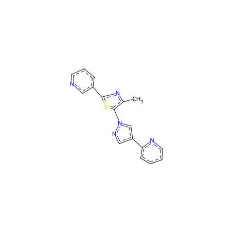 Cc1nc(-c2cccnc2)sc1-n1cc(-c2ccccn2)cn1